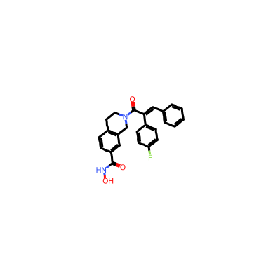 O=C(NO)c1ccc2c(c1)CN(C(=O)C(=Cc1ccccc1)c1ccc(F)cc1)CC2